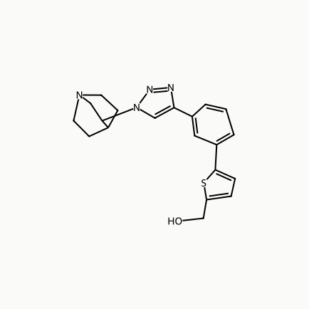 OCc1ccc(-c2cccc(-c3cn(C4CN5CCC4CC5)nn3)c2)s1